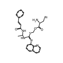 CC(C)C[C@H](N)C(=O)OCS/C(=N/c1cccc2cccnc12)NC(C)NC(=O)/C=C/c1ccccc1